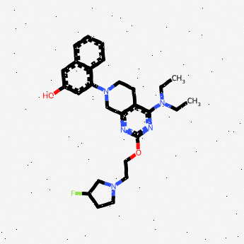 CCN(CC)c1nc(OCCN2CCC(F)C2)nc2c1CCN(c1cc(O)cc3ccccc13)C2